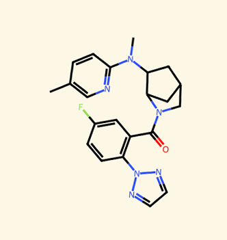 Cc1ccc(N(C)C2CC3CC2N(C(=O)c2cc(F)ccc2-n2nccn2)C3)nc1